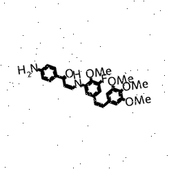 COc1cc(/C=C\c2cc(F)c(OC)c(N/C=C\C(=O)c3ccc(N)cc3)c2)cc(OC)c1OC